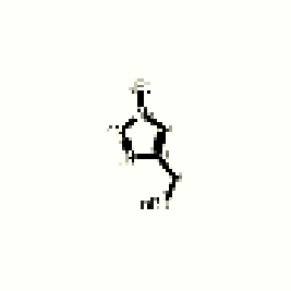 CCCCCc1cn(CC)nn1